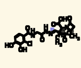 C[C@@H]1CC(=O)N1[C@@H](C(=O)O)[C@](C)(/C=N/NC(=O)CNC(=O)c1ccc(O)c(O)c1Cl)[SH](=O)=O